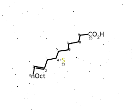 CCCCCCCCC=CCCCCCCCC(=O)O.[S]